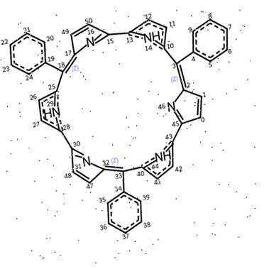 C1=C/C2=C(\c3ccccc3)c3ccc([nH]3)C3=N/C(=C(/c4ccccc4)c4ccc([nH]4)C4=N/C(=C(/c5ccccc5)c5ccc([nH]5)C1=N2)C=C4)C=C3